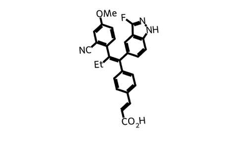 CCC(=C(c1ccc(C=CC(=O)O)cc1)c1ccc2[nH]nc(F)c2c1)c1ccc(OC)cc1C#N